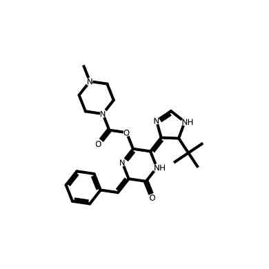 CN1CCN(C(=O)Oc2nc(=Cc3ccccc3)c(=O)[nH]c2=C2N=CNC2C(C)(C)C)CC1